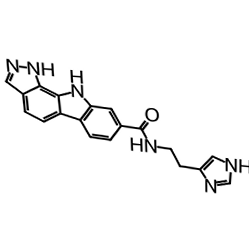 O=C(NCCc1c[nH]cn1)c1ccc2c(c1)[nH]c1c2ccc2cn[nH]c21